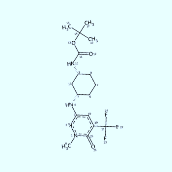 Cn1nc(N[C@H]2CCC[C@@H](NC(=O)OC(C)(C)C)C2)cc(C(F)(F)F)c1=O